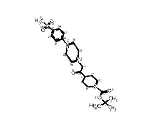 CC(C)(C)OC(=O)N1CCC(C(=O)CN2CCN(c3ccc(S(C)(=O)=O)cc3)CC2)CC1